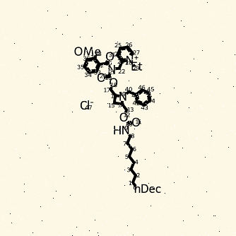 CCCCCCCCCCCCCCCCCCNC(=O)OCC1CC(COC(=O)N(Cc2cccc[n+]2CC)C(=O)c2ccccc2OC)N1Cc1ccccc1.[Cl-]